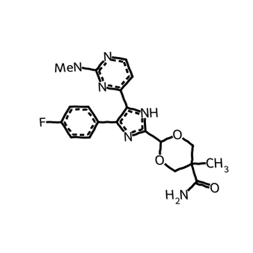 CNc1nccc(-c2[nH]c(C3OCC(C)(C(N)=O)CO3)nc2-c2ccc(F)cc2)n1